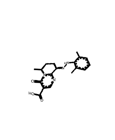 Cc1cccc(C)c1N/N=C1\CCC(C)n2c1ncc(C(=O)O)c2=O